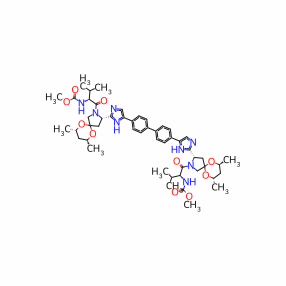 COC(=O)N[C@H](C(=O)N1CC2(C[C@H]1c1ncc(-c3ccc(-c4ccc(-c5cnc([C@@H]6CC7(CN6C(=O)[C@@H](NC(=O)OC)C(C)C)O[C@@H](C)C[C@H](C)O7)[nH]5)cc4)cc3)[nH]1)O[C@@H](C)C[C@H](C)O2)C(C)C